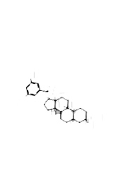 Cc1cc(C)cc(C(=O)[C@H]2CC[C@H]3[C@@H]4CC[C@@H]5C[C@](C)(O)CC[C@@H]5[C@H]4CC[C@]23C)c1